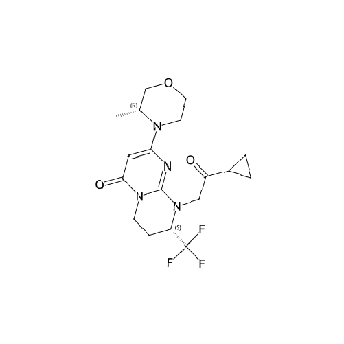 C[C@@H]1COCCN1c1cc(=O)n2c(n1)N(CC(=O)C1CC1)[C@H](C(F)(F)F)CC2